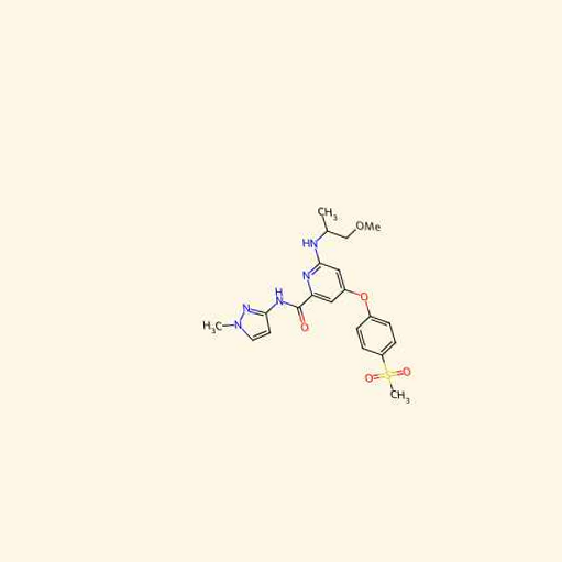 COCC(C)Nc1cc(Oc2ccc(S(C)(=O)=O)cc2)cc(C(=O)Nc2ccn(C)n2)n1